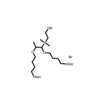 CCCCCCCCCCCCCCOC(C)C(OCCCCCCCCCCCCCC)[N+](C)(C)CCO.[Br-]